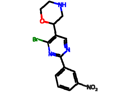 O=[N+]([O-])c1cccc(-c2ncc(C3CNCCO3)c(Br)n2)c1